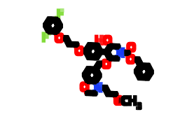 COCCCN1CCOc2ccc(COC3CN(C(=O)OCc4ccccc4)CC(O)C3c3ccc(OCCCOc4cc(F)ccc4F)cc3)cc21